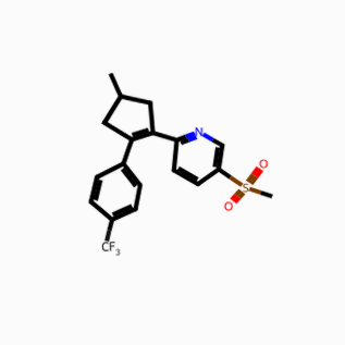 CC1CC(c2ccc(C(F)(F)F)cc2)=C(c2ccc(S(C)(=O)=O)cn2)C1